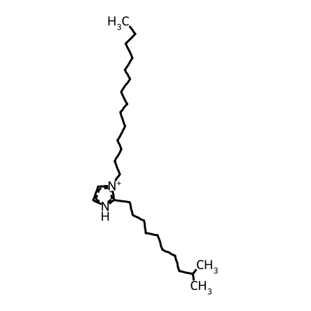 CCCCCCCCCCCCCC[n+]1cc[nH]c1CCCCCCCCC(C)C